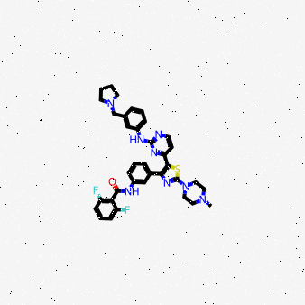 CN1CCN(c2nc(-c3cccc(NC(=O)c4c(F)cccc4F)c3)c(-c3ccnc(Nc4cccc(CN5CCCC5)c4)n3)s2)CC1